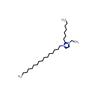 CCCCCCCCCCCCCCCC[n+]1ccn(CC)c1CCCCCCC